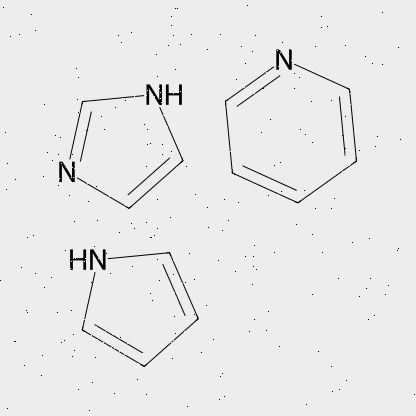 c1c[nH]cn1.c1cc[nH]c1.c1ccncc1